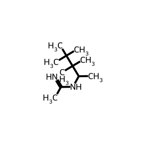 CC(=N)NC(C)C(C)(C)C(C)(C)C